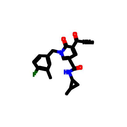 CNC(=O)c1cc(C(=O)NC2CC2C)cn(Cc2ccc(F)c(C)c2)c1=O